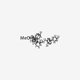 COC(=O)CN(Cc1cccc(OCCc2nc(-c3ccc(C)cc3)oc2C)c1)S(=O)(=O)N1CCN(C)CC1